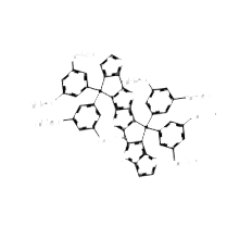 CCCCCCc1cc(CCCCCC)cc(C2(c3cc(CCCCCC)cc(CCCCCC)c3)c3ccsc3-c3sc4c5c(sc4c32)-c2sc3ccsc3c2C5(c2cc(CCCCCC)cc(CCCCCC)c2)c2cc(CCCCCC)cc(CCCCCC)c2)c1